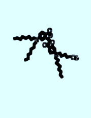 CCCCCCCCN(CCCCCCCC)c1ccc2c(c1)OC(=C1OC(=O)c3ccc(N(CCCCCCCC)CCCCCCCC)cc31)C2=O